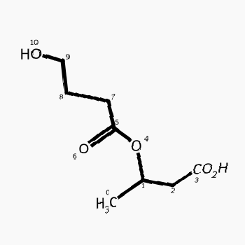 CC(CC(=O)O)OC(=O)CCCO